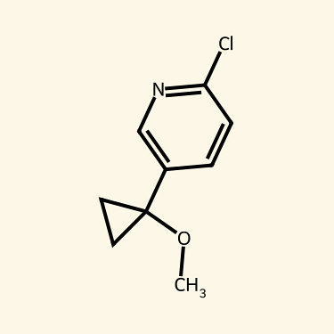 COC1(c2ccc(Cl)nc2)CC1